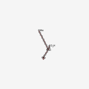 COCCOCCOCCOCCOCCOCCOCCOCCOCCOCCOCCOCCNC(=O)[C@H](Cc1ccc(OCC(=O)O)cc1)NC(=O)CCOCCOCCOCCOCCN1C(=O)c2ccccc2C1=O